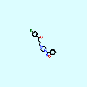 O=C(CCCN1CCN(c2noc3c[c]ccc23)CC1)c1ccc(F)cc1